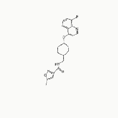 Cc1cc(C(=O)NCC2CCC(Oc3ccnc4c(F)cccc34)CC2)no1